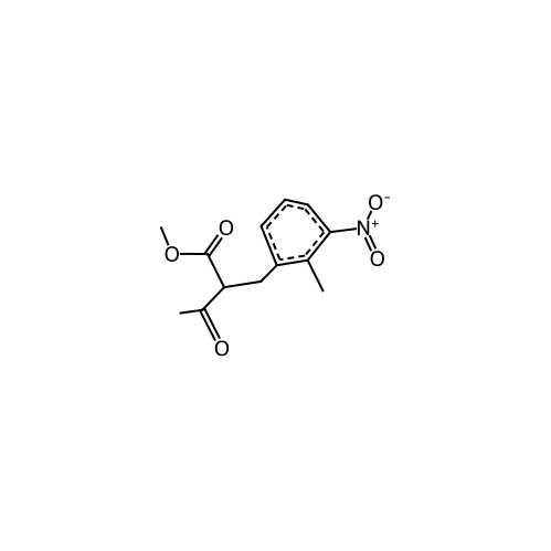 COC(=O)C(Cc1cccc([N+](=O)[O-])c1C)C(C)=O